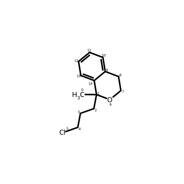 CC1(CCCCl)OCCc2ccccc21